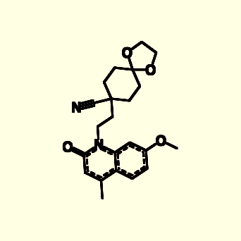 COc1ccc2c(C)cc(=O)n(CCC3(C#N)CCC4(CC3)OCCO4)c2c1